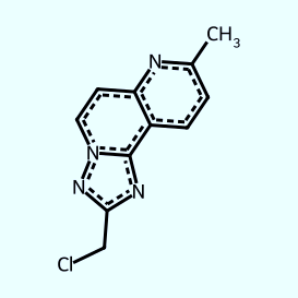 Cc1ccc2c(ccn3nc(CCl)nc23)n1